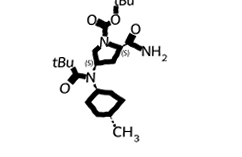 CC(C)(C)OC(=O)N1C[C@@H](N(C(=O)C(C)(C)C)[C@H]2CC[C@@H](C)CC2)C[C@H]1C(N)=O